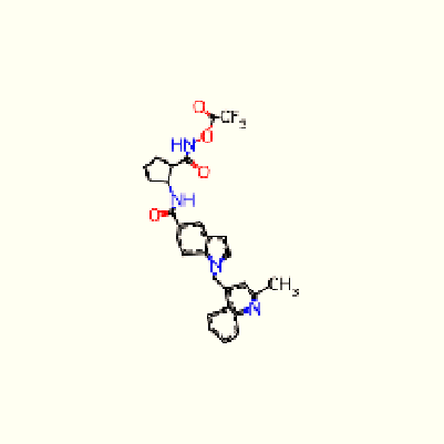 Cc1cc(Cn2ccc3cc(C(=O)NC4CCCC4C(=O)NOC(=O)C(F)(F)F)ccc32)c2ccccc2n1